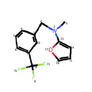 CN(Cc1cccc(C(F)(F)F)c1)c1ccco1